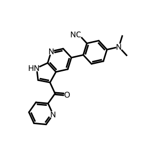 CN(C)c1ccc(-c2cnc3[nH]cc(C(=O)c4ccccn4)c3c2)c(C#N)c1